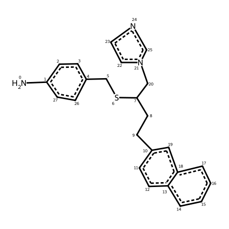 Nc1ccc(CSC(CCc2ccc3ccccc3c2)Cn2ccnc2)cc1